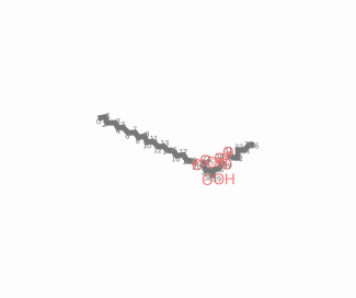 CCCCCCCCCCCCCCCCCCCCOC(=O)CC(O)(CC(=O)OC(=O)CCCCC)C(=O)O